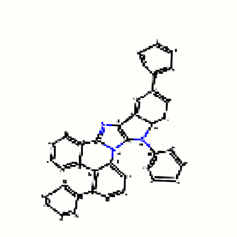 C1=C(c2ccccc2)C=C2c3nc4c5ccccc5c5c(-c6ccccc6)cccc5n4c3N(c3ccccc3)C2C1